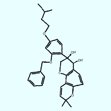 CC(C)CCOc1ccc(C2(O)COc3c(ccc4c3C=CC(C)(C)O4)C2O)c(OCc2ccccc2)c1